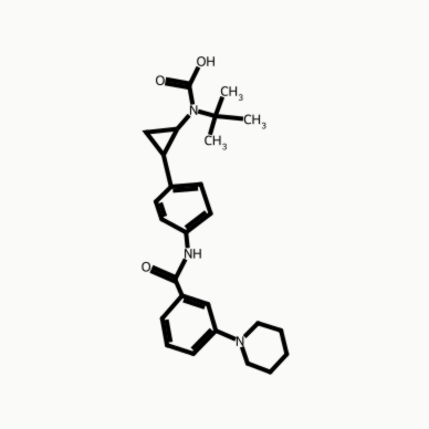 CC(C)(C)N(C(=O)O)C1CC1c1ccc(NC(=O)c2cccc(N3CCCCC3)c2)cc1